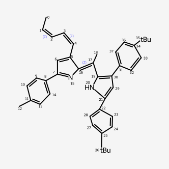 C/C=C\C=C/C1=CC(c2ccc(C)cc2)=N/C1=C(/C)c1[nH]c(-c2ccc(C(C)(C)C)cc2)cc1-c1ccc(C(C)(C)C)cc1